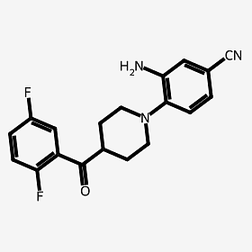 N#Cc1ccc(N2CCC(C(=O)c3cc(F)ccc3F)CC2)c(N)c1